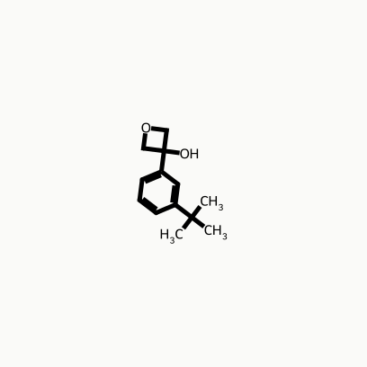 CC(C)(C)c1cccc(C2(O)COC2)c1